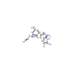 CC#CCNc1cc(Cl)nc2c(Br)c([C@H]3CC(C)=C(C)C[C@@H]3N)sc12